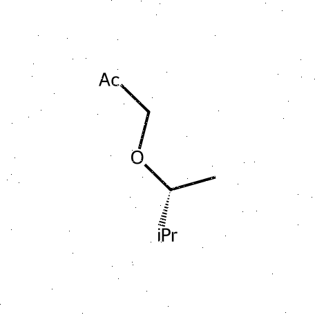 CC(=O)CO[C@H](C)C(C)C